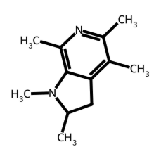 Cc1nc(C)c2c(c1C)CC(C)N2C